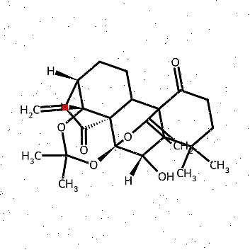 C=C1C(=O)[C@@]23C4CC[C@@H]1[C@H]2OC(C)(C)O[C@]31OC(=C)C42C(=O)CCC(C)(C)C2[C@@H]1O